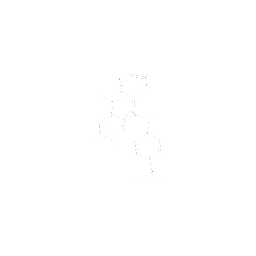 COC(=O)c1ccc2c(c1)-c1cccc3c1c(c1ccccc1[n+]3C)S2.[Cl-]